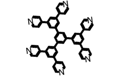 c1cc(-c2cc(-c3ccncc3)cc(-c3cc(-c4cc(-c5ccncc5)cc(-c5ccncc5)c4)cc(-c4cc(-c5ccncc5)cc(-c5ccncc5)c4)c3)c2)ccn1